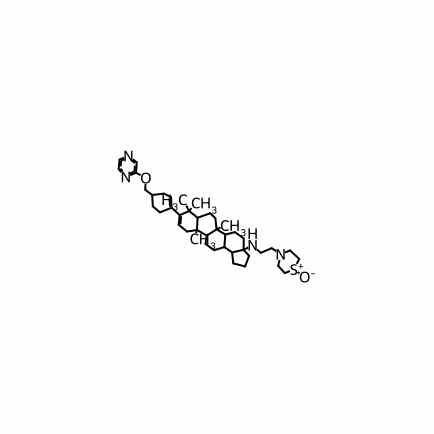 CC1(C)C(C2=CCC(COc3cnccn3)CC2)=CCC2(C)C1CCC1(C)C3CCC4(NCCN5CC[S+]([O-])CC5)CCCC4C3CCC12